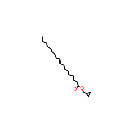 CCCCCCCCC=CCCCCCCCC(=O)OCC1CC1